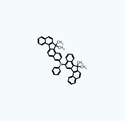 CC1(C)c2ccc3ccccc3c2-c2ccc3cc(N(c4ccccc4)c4cc5c(c6ccccc46)C(C)(C)c4ccc6ccccc6c4-5)ccc3c21